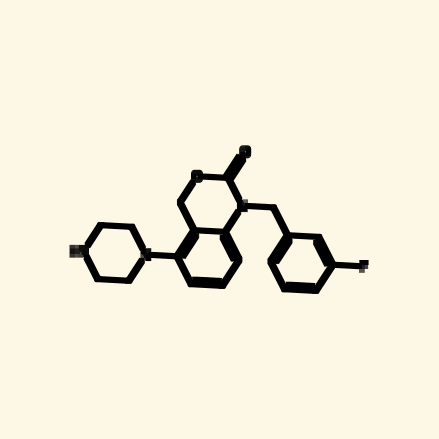 O=C1OCc2c(N3CCNCC3)cccc2N1Cc1cccc(F)c1